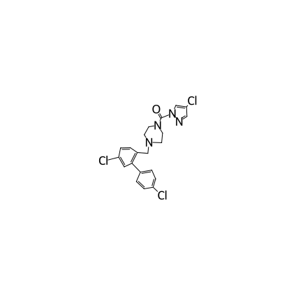 O=C(N1CCN(Cc2ccc(Cl)cc2-c2ccc(Cl)cc2)CC1)n1cc(Cl)cn1